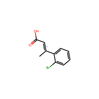 C/C(=C\C(=O)O)c1ccccc1Br